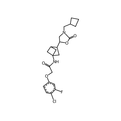 O=C(COc1ccc(Cl)c(F)c1)NC12CC(C1)C(C1CN(CC3CCC3)C(=O)O1)C2